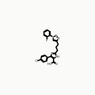 O=C(O)c1[nH]c(CCCc2cn(-c3ccccc3F)nn2)nc1-c1ccc(Cl)cc1